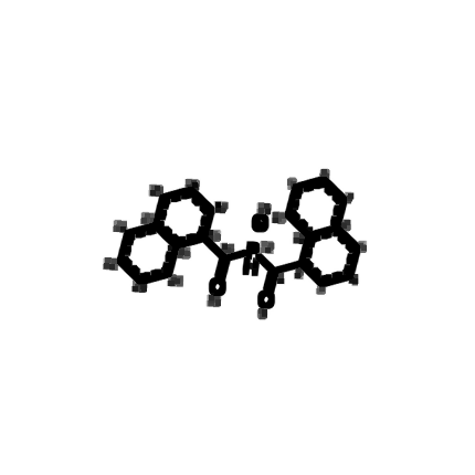 O=C(c1cccc2ccccc12)[PH](=O)C(=O)c1cccc2ccccc12